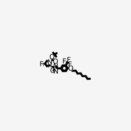 CCCCCCCCOc1ccc(-c2noc([C@@H]3C[C@@H](F)CN3C(=O)OC(C)(C)C)n2)cc1C(F)(F)F